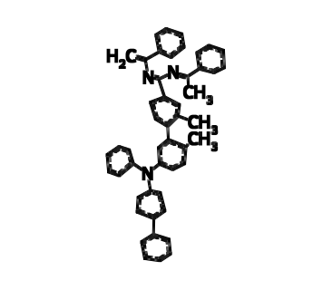 C=C(/N=C(\N=C(/C)c1ccccc1)c1ccc(-c2cc(N(c3ccccc3)c3ccc(-c4ccccc4)cc3)ccc2C)c(C)c1)c1ccccc1